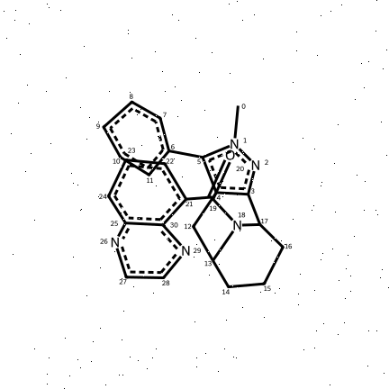 Cn1nc2c(c1-c1ccccc1)CC1CCCC2N1C(=O)c1cccc2nccnc12